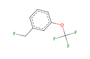 FCc1cccc(OC(F)(F)F)c1